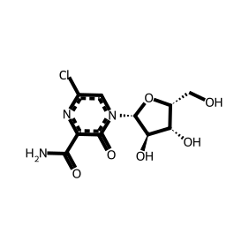 NC(=O)c1nc(Cl)cn([C@@H]2O[C@H](CO)[C@H](O)[C@H]2O)c1=O